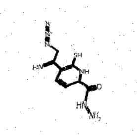 [N-]=[N+]=NCC(=N)C1=C(S)NC(C(=O)NN)C=C1